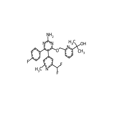 Cc1cc(-c2c(OCc3cccc(C(C)(C)O)n3)nc(N)nc2-c2ccc(F)cc2)cc(C(F)F)n1